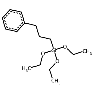 CCO[Si](CCCc1[c]cccc1)(OCC)OCC